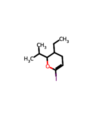 CCC1CC=C(I)OC1C(C)C